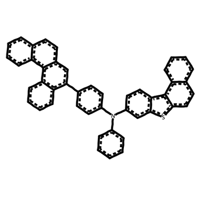 c1ccc(N(c2ccc(-c3cc4ccc5ccccc5c4c4ccccc34)cc2)c2ccc3c(c2)sc2ccc4ccccc4c23)cc1